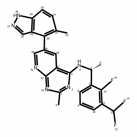 Cc1nc(N[C@H](C)c2cccc(C(F)F)c2F)c2cc(-c3c(C)ccc4[nH]ncc34)cnc2n1